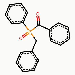 O=C(c1ccccc1)P(=O)(Cc1ccccc1)c1ccccc1